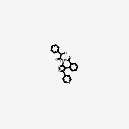 O=C(O)c1ccccc1-c1c(-c2ccncc2)noc1NC(=O)C(Cl)c1ccccc1